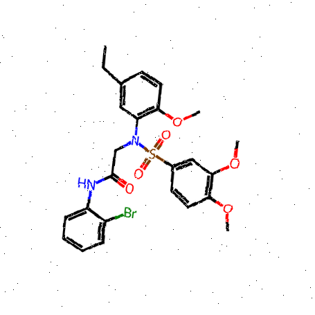 CCc1ccc(OC)c(N(CC(=O)Nc2ccccc2Br)S(=O)(=O)c2ccc(OC)c(OC)c2)c1